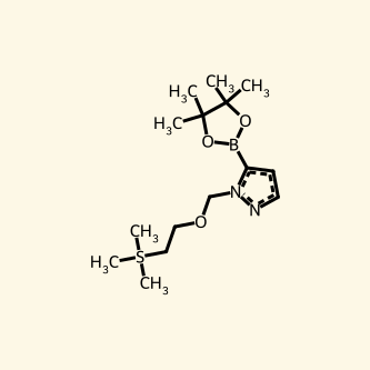 CC1(C)OB(c2ccnn2COCCS(C)(C)C)OC1(C)C